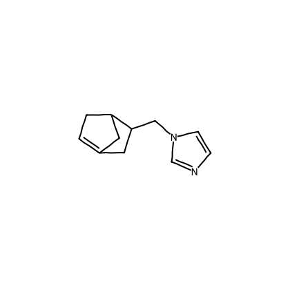 C1=C2CC(C1)C(Cn1ccnc1)C2